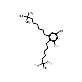 CC(C)(C)CCCCCCc1cc(O)cc(O)c1CCCCCC(C)(C)C